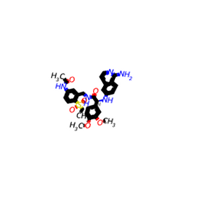 CCS(=O)(=O)c1ccc(NC(C)=O)cc1CNC(=O)[C@@H](Nc1ccc2c(N)nccc2c1)c1ccc(OC)c(OC)c1